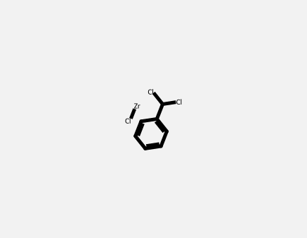 ClC(Cl)c1ccccc1.[Cl][Zr]